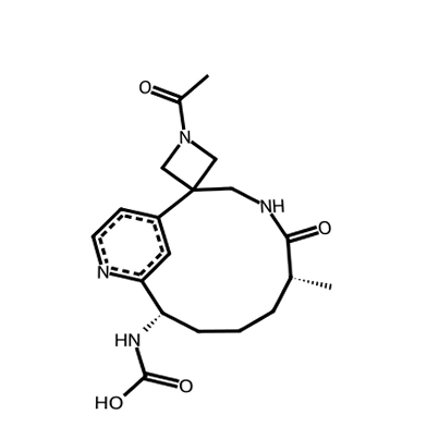 CC(=O)N1CC2(CNC(=O)[C@H](C)CCC[C@H](NC(=O)O)c3cc2ccn3)C1